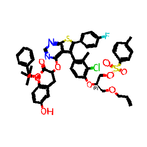 C=CCOC[C@H](COS(=O)(=O)c1ccc(C)cc1)Oc1ccc(-c2c(-c3ccc(F)cc3)sc3ncnc(OC(Cc4cc(O)ccc4OCc4ccccc4)C(=O)OC(C)(C)C)c23)c(C)c1Cl